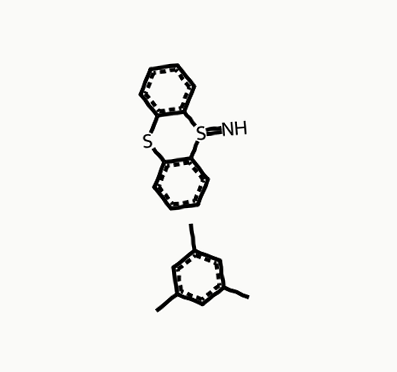 Cc1cc(C)cc(C)c1.N=S1c2ccccc2Sc2ccccc21